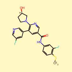 O=C(Nc1ccc(SC(F)(F)F)c(F)c1)c1cnc(N2CC[C@@H](O)C2)c(-c2cncc(F)c2)c1